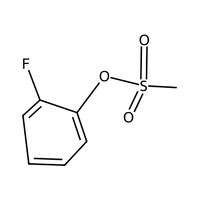 CS(=O)(=O)Oc1ccccc1F